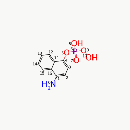 Nc1ccc(OP(=O)(O)OO)c2ccccc12